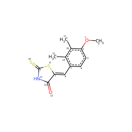 COc1ccc(/C=C2\SC(=S)NC2=O)c(C)c1C